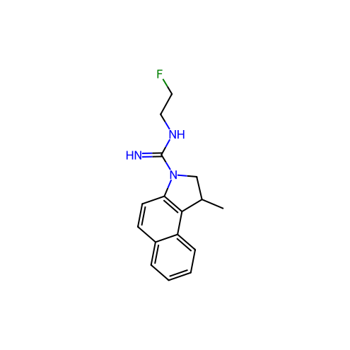 CC1CN(C(=N)NCCF)c2ccc3ccccc3c21